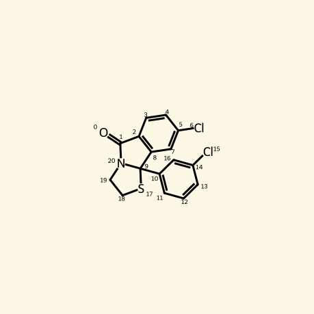 O=C1c2ccc(Cl)cc2C2(c3cccc(Cl)c3)SCCN12